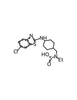 CCN(CC1CCC(Nc2nc3ccc(Cl)cc3s2)CC1)S(=O)O